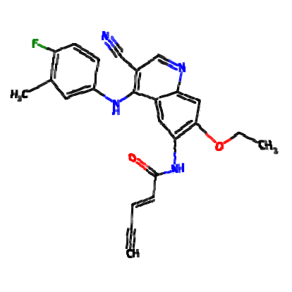 C#C/C=C/C(=O)Nc1cc2c(Nc3ccc(F)c(C)c3)c(C#N)cnc2cc1OCC